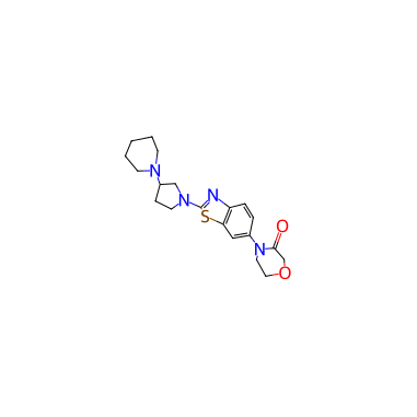 O=C1COCCN1c1ccc2nc(N3CCC(N4CCCCC4)C3)sc2c1